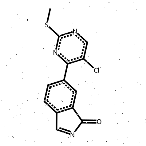 CSc1ncc(Cl)c(-c2ccc3c(c2)C(=O)N=C3)n1